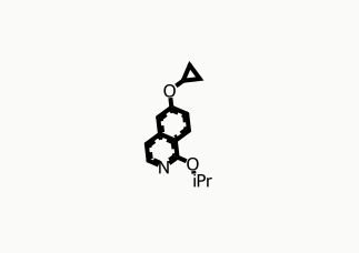 CC(C)Oc1nccc2cc(OC3CC3)ccc12